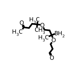 BC(C)(CCOC(C)(C)CCC(C)=O)OCCC=O